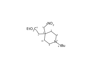 CCOC(=O)CC1(C[N+](=O)[O-])CCN(C(C)(C)C)CC1